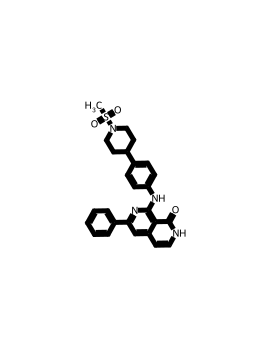 CS(=O)(=O)N1CCC(c2ccc(Nc3nc(-c4ccccc4)cc4cc[nH]c(=O)c34)cc2)CC1